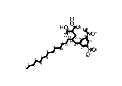 CCCCCCCCCCCCCCC(Cc1cc([N+](=O)[O-])cc([N+](=O)[O-])c1)CC(C(=O)O)C(=O)O